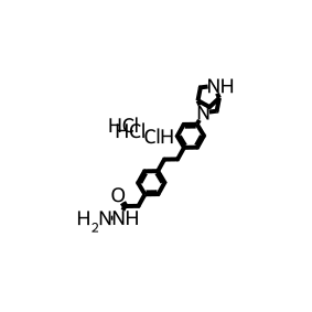 Cl.Cl.Cl.NNC(=O)Cc1ccc(CCc2ccc(N3CC4CC3CN4)cc2)cc1